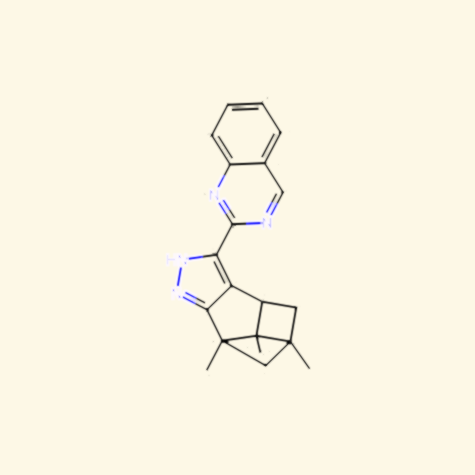 CC12CC3c4c(n[nH]c4-c4ncc5ccccc5n4)C(C)(C1)C32C